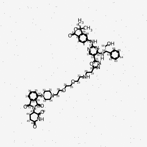 CC1(C)OC(=O)c2ccc(Nc3ncc(-c4nnc(CCNCCOCCOCCN5CCN(c6cccc7c6C(=O)N(C6CCC(=O)NC6=O)C7=O)CC5)o4)c(N[C@H](CO)c4ccccc4)n3)cc21